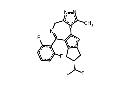 Cc1nnc2n1-c1sc3c(c1C(c1c(F)cccc1F)=NC2)C[C@@H](C(F)F)C3